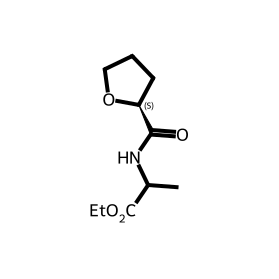 CCOC(=O)C(C)NC(=O)[C@@H]1CCCO1